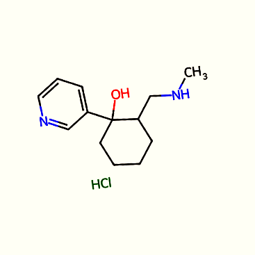 CNCC1CCCCC1(O)c1cccnc1.Cl